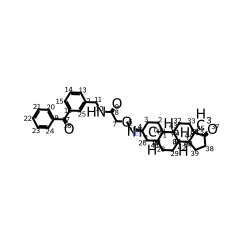 C[C@]12CC/C(=N\OCC(=O)NCc3cccc(C(=O)c4ccccc4)c3)C[C@@H]1CC[C@@H]1[C@@H]2CC[C@]2(C)C(=O)CC[C@@H]12